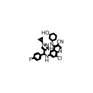 N#Cc1cnc2c(Cl)cc(NC(c3ccc(F)cc3)c3cn(C4CC4)nn3)cc2c1N[C@@H]1CCC[C@H](O)C1